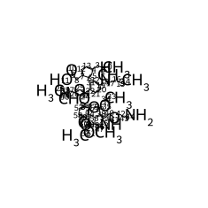 CC(C)Cc1ccc(CC(=O)O)cc1.CCCCNc1ccc(C(=O)OCCN(C)C)cc1.CCOC(=O)C1=C(COCCN)NC(C)=C(C(=O)OC)C1c1ccccc1Cl